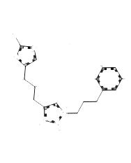 Cl.Nc1nc(CCCc2cn(CCCc3ccccc3)nn2)c[nH]1